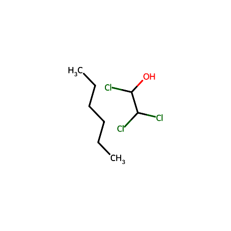 CCCCCC.OC(Cl)C(Cl)Cl